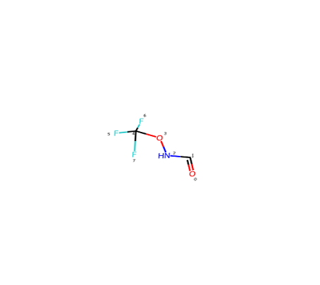 O=[C]NOC(F)(F)F